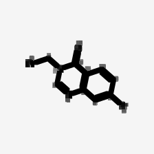 CC(C)Cn1cnc2cc(Br)ccc2c1=O